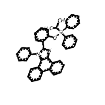 CC(C)[Si](Oc1ccccc1-c1nc2c3ccccc3c3ccccc3c2n1-c1ccccc1)(c1ccccc1)c1ccccc1